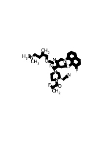 C=C(CCN(C)C)COc1nc2c(c(N3CCN(C(=O)C(=C)F)[C@@H](CC#N)C3)n1)CCN(c1cccc3ccc(F)c(Cl)c13)C2